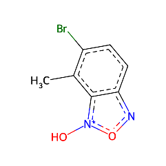 Cc1c(Br)ccc2no[n+](O)c12